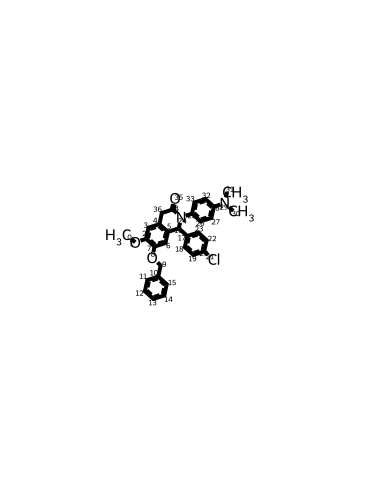 COc1cc2c(cc1OCc1ccccc1)C(c1ccc(Cl)cc1)N(c1ccc(N(C)C)cc1)C(=O)C2